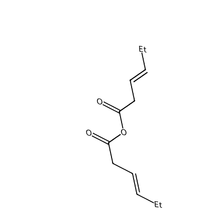 CC/C=C/CC(=O)OC(=O)C/C=C/CC